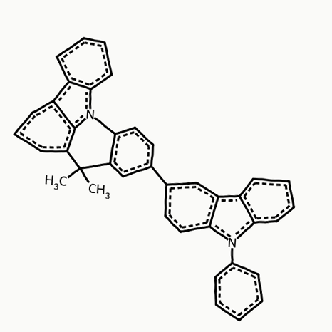 CC1(C)c2cc(-c3ccc4c(c3)c3ccccc3n4-c3ccccc3)ccc2-n2c3ccccc3c3cccc1c32